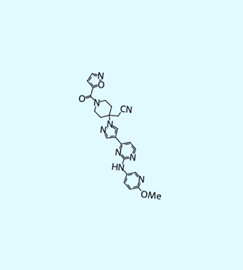 COc1ccc(Nc2nccc(-c3cnn(C4(CC#N)CCN(C(=O)c5ccno5)CC4)c3)n2)cn1